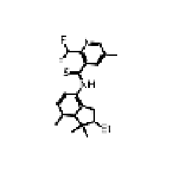 CCC1CC2=C(NC(=S)c3cc(C)cnc3C(F)F)C=CC(C)C2C1(C)C